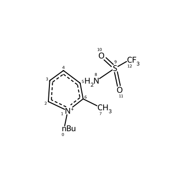 CCCC[n+]1ccccc1C.NS(=O)(=O)C(F)(F)F